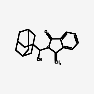 C=C1c2ccccc2C(=O)N1[C@H](C#N)C12CC3CC(CC(C3)C1)C2